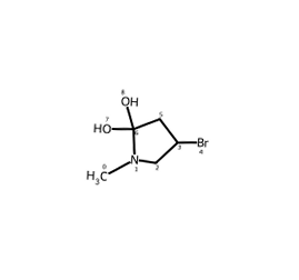 CN1CC(Br)CC1(O)O